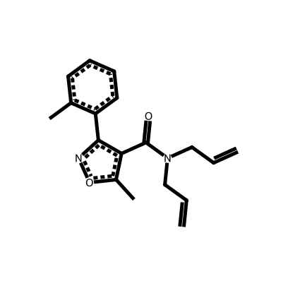 C=CCN(CC=C)C(=O)c1c(-c2ccccc2C)noc1C